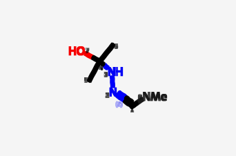 CN/C=N\NC(C)(C)O